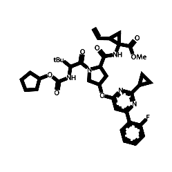 C=CC1CC1(NC(=O)C1CC(Oc2cc(-c3ccccc3F)nc(C3CC3)n2)CN1C(=O)C(NC(=O)OC1CCCC1)C(C)(C)C)C(=O)OC